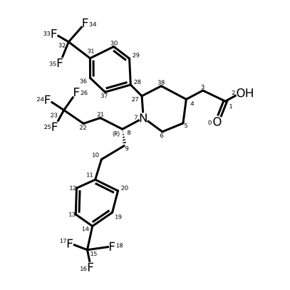 O=C(O)CC1CCN([C@H](CCc2ccc(C(F)(F)F)cc2)CCC(F)(F)F)C(c2ccc(C(F)(F)F)cc2)C1